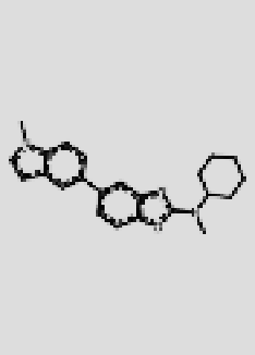 CN(c1nc2cc(-c3ccc4c(ccn4C)c3)ccc2o1)C1CCCCC1